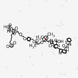 Cc1c(-c2ccc(-c3cnc4cccc(C(=O)Nc5nc6ccccc6s5)c4c3)nc2C(=O)O)cnn1CC12CC3(C)CC(C)(C1)CC(OCCN(C)C(=O)OCc1[c]cc(OCCOCCNC(=O)[C@H](CS(=O)(=O)O)NC(=O)CCCCCN4C(=O)C=CC4=O)cc1)(C3)C2